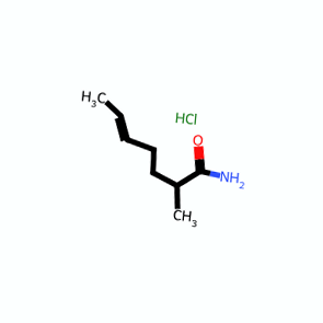 CC=CCCC(C)C(N)=O.Cl